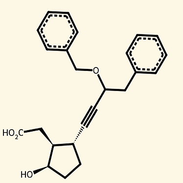 O=C(O)C[C@@H]1[C@H](O)CC[C@H]1C#CC(Cc1ccccc1)OCc1ccccc1